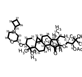 CC(=O)O[C@@H]([C@H]1C[C@@H](C)[C@H]2[C@H](O1)C(=O)[C@@]1(C)[C@@H]3CC[C@H]4C(C)(C)[C@@H](O[C@H]5CN(C6CCC6)CCO5)CC[C@@]45CC35CC[C@]21C)C(C)(C)O